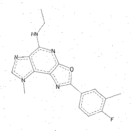 CCNc1nc2oc(-c3ccc(F)c(C)c3)nc2c2c1ncn2C